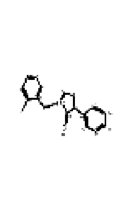 Cc1ccccc1CN1CCC(c2ccccc2)C1=O